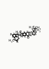 COc1cc(F)cc2cc(-c3nc4cc5c(cc4n3C)CCN(C[C@@H](CF)NC(=O)OC(C)(C)C)C5=O)n(CC3CC3)c12